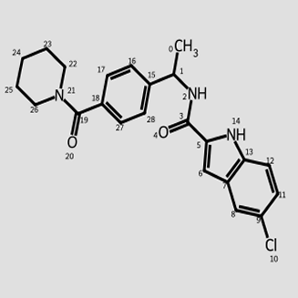 CC(NC(=O)c1cc2cc(Cl)ccc2[nH]1)c1ccc(C(=O)N2CCCCC2)cc1